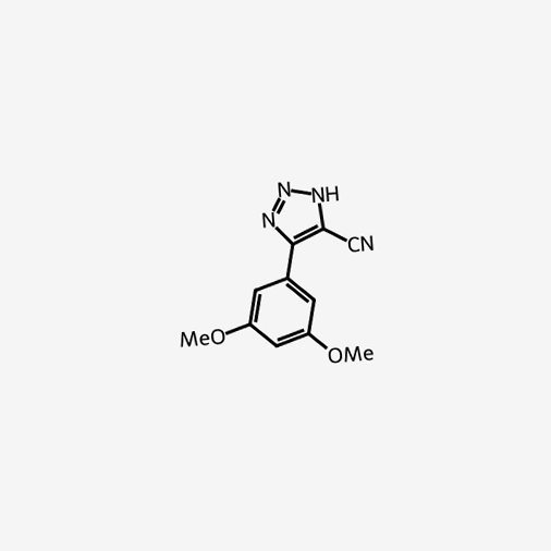 COc1cc(OC)cc(-c2nn[nH]c2C#N)c1